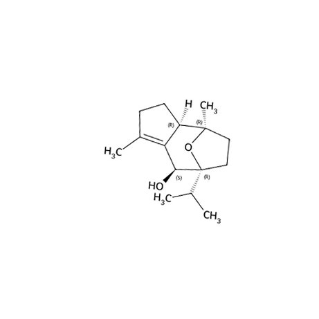 CC1=C2[C@@H](CC1)[C@@]1(C)CC[C@](C(C)C)(O1)[C@H]2O